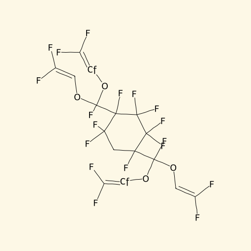 FC(F)=COC(F)([O][Cf]=[C](F)F)C1(F)CC(F)(F)C(F)(C(F)(OC=C(F)F)[O][Cf]=[C](F)F)C(F)(F)C1(F)F